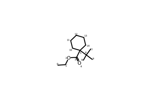 C[CH]OC(=O)C1(C(C)(C)C)CCCCC1